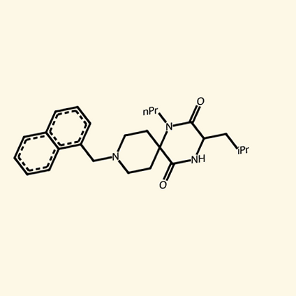 CCCN1C(=O)C(CC(C)C)NC(=O)C12CCN(Cc1cccc3ccccc13)CC2